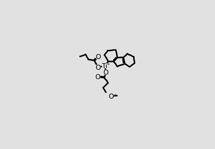 CCCC(=O)[O][Ti+]([O]C(=O)CCC)[CH]1CCCC2=C1CC1=C2CCCC1.C[O-]